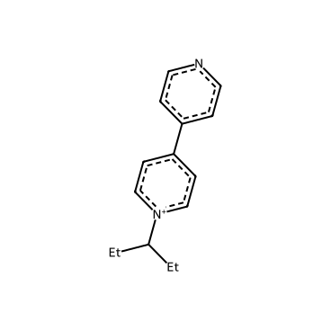 CCC(CC)[n+]1ccc(-c2ccncc2)cc1